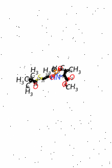 COC(=O)[C@@H](NP(C)(=O)OCCSC(=O)C(C)(C)C)C(C)C